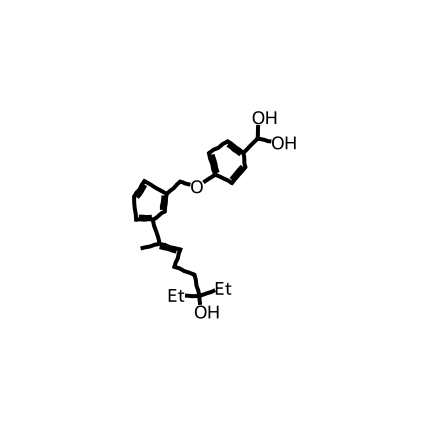 CCC(O)(CC)CCC=C(C)c1cccc(COc2ccc(C(O)O)cc2)c1